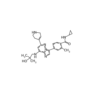 Cc1cc(-c2cnc3c(NCC(C)(C)O)cc(C4=CCNCC4)nn23)ccc1C(=O)NC1CC1